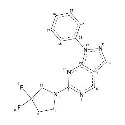 FC1(F)CCN(c2ncc3cnn(-c4ccccc4)c3n2)C1